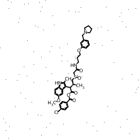 COc1ccc2[nH]c(C)c(C(C(=O)OC(=O)c3ccc(Cl)cc3)C(C)C[S+]([O-])CC(=O)NCCCOc3cccc(CN4CCCC4)c3)c2c1